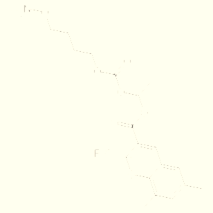 Cc1cc(C)c2c(c1)C=C(C(=O)OC(C)OC(=O)OCCCCO[N+](=O)[O-])[C@@H](C(F)(F)F)O2